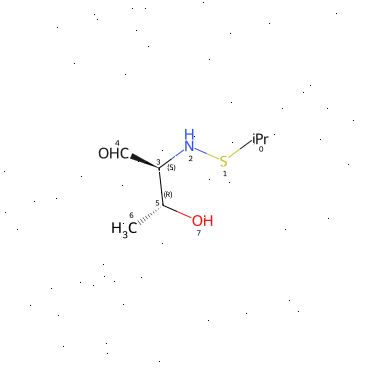 CC(C)SN[C@H](C=O)[C@@H](C)O